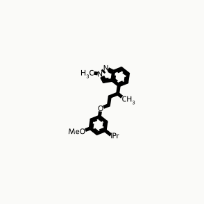 COc1cc(OCCC(C)c2cccc3nn(C)cc23)cc(C(C)C)c1